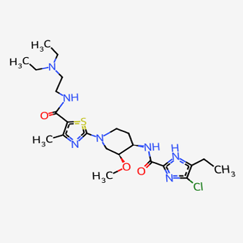 CCc1[nH]c(C(=O)N[C@@H]2CCN(c3nc(C)c(C(=O)NCCN(CC)CC)s3)C[C@@H]2OC)nc1Cl